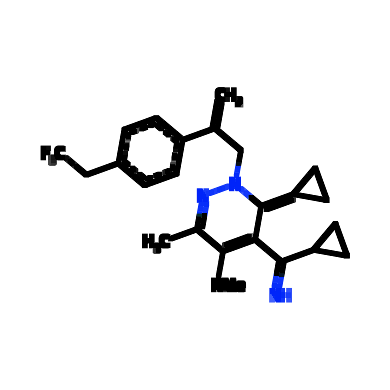 C=C(CN1N=C(C)C(NC)=C(C(=N)C2CC2)C1=C1CC1)c1ccc(CC(F)(F)F)cc1